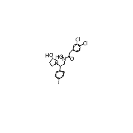 Cc1ccc([C@H](CN(O)C(=O)Cc2ccc(Cl)c(Cl)c2)N2CC[C@H](O)C2)cc1